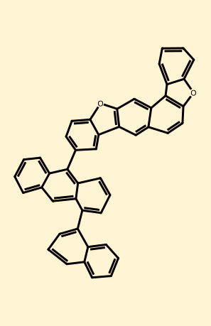 c1ccc2c(-c3cccc4c(-c5ccc6oc7cc8c(ccc9oc%10ccccc%10c98)cc7c6c5)c5ccccc5cc34)cccc2c1